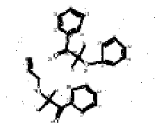 C=CCOC(C)(C)C(=O)c1ccccc1.CC(C)(Oc1ccccc1)C(=O)c1ccccc1